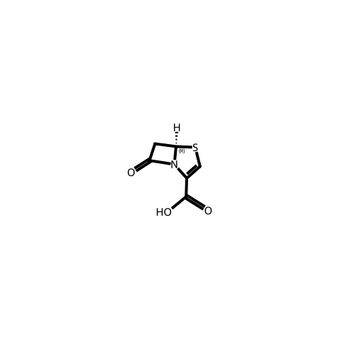 O=C(O)C1=CS[C@@H]2CC(=O)N12